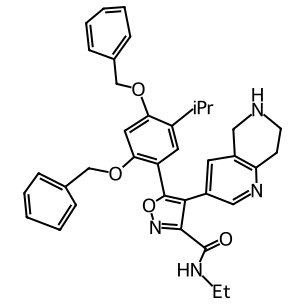 CCNC(=O)c1noc(-c2cc(C(C)C)c(OCc3ccccc3)cc2OCc2ccccc2)c1-c1cnc2c(c1)CNCC2